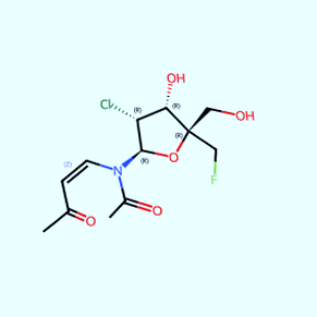 CC(=O)/C=C\N(C(C)=O)[C@@H]1O[C@@](CO)(CF)[C@@H](O)[C@H]1Cl